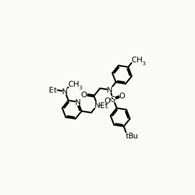 CCN(Cc1cccc(N(C)CC)n1)C(=O)CN(c1ccc(C)cc1)S(=O)(=O)c1ccc(C(C)(C)C)cc1